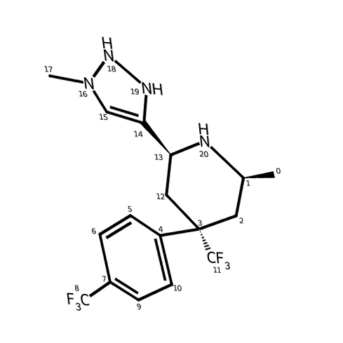 C[C@H]1C[C@](c2ccc(C(F)(F)F)cc2)(C(F)(F)F)C[C@@H](C2=CN(C)NN2)N1